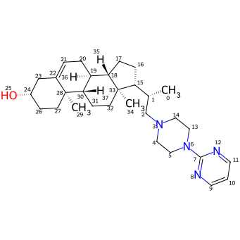 C[C@H](CN1CCN(c2ncccn2)CC1)[C@H]1CC[C@H]2[C@@H]3CC=C4C[C@@H](O)CC[C@]4(C)[C@H]3CC[C@]12C